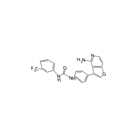 Nc1nccc2occ(-c3ccc(NC(=O)Nc4cccc(C(F)(F)F)c4)cc3)c12